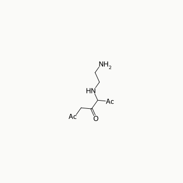 CC(=O)CC(=O)C(NCCN)C(C)=O